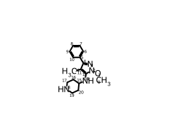 COn1nc(-c2ccccc2)c(C)c1NC1CCNCC1